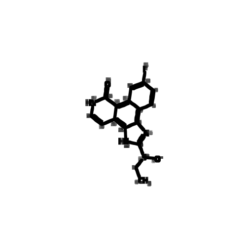 CC[S+]([O-])c1nc2c3ccc(F)cc3c3c(=O)[nH]ccc3c2[nH]1